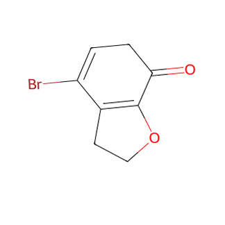 O=C1CC=C(Br)C2=C1OCC2